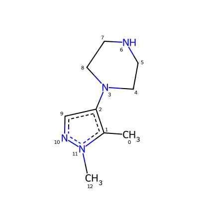 Cc1c(N2CCNCC2)cnn1C